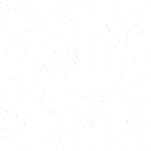 CC(CNCCCO)C(=O)c1ccc(F)cc1